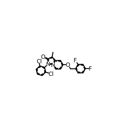 Cc1c(=O)n(-c2c(Cl)cccc2Cl)n2ccc(OCc3ccc(F)cc3F)cc12